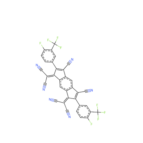 N#CC(C#N)=C1C(c2ccc(F)c(C(F)(F)F)c2)=C(C#N)c2cc3c(cc21)C(=C(C#N)C#N)C(c1ccc(F)c(C(F)(F)F)c1)=C3C#N